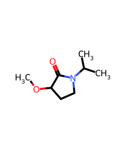 COC1CCN(C(C)C)C1=O